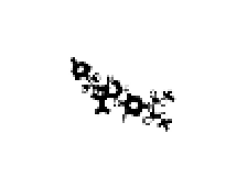 Cc1ccc(S(=O)(=O)n2cc(C(C)C)c3c(Oc4c(F)cc(N(C(=O)OC(C)(C)C)C(=O)OC(C)(C)C)cc4F)ccnc32)cc1